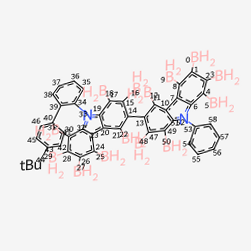 Bc1c(B)c(B)c2c(c1B)c1c(B)c(-c3c(B)c(B)c4c(c3B)c3c(B)c(B)c(B)c(B)c3n4-c3ccccc3-c3ccc(C(C)(C)C)cc3)c(B)c(B)c1n2-c1ccccc1